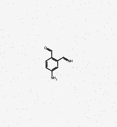 N=[C]c1cc(N)ccc1[C]=O